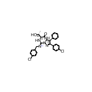 C[C@@H](O)[C@H](N/C(=N\Cc1ccc(Cl)cc1)N1C[C@@H](c2ccccc2)C(c2ccc(Cl)cc2)=N1)C(N)=O